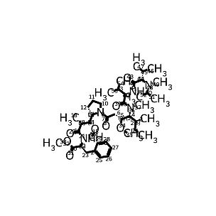 CC[C@H](C)[C@@H]([C@@H](CC(=O)N1CCC[C@H]1[C@H](OC)[C@@H](C)C(=O)N[C@@H](Cc1ccccc1)C(=O)OC)OC)N(C)C(=O)[C@@H](NC(=O)[C@H](C(C)C)N(C)C(C)C)C(C)C